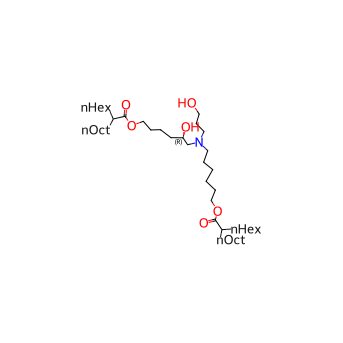 CCCCCCCCC(CCCCCC)C(=O)OCCCCCCN(CCCO)C[C@H](O)CCCCOC(=O)C(CCCCCC)CCCCCCCC